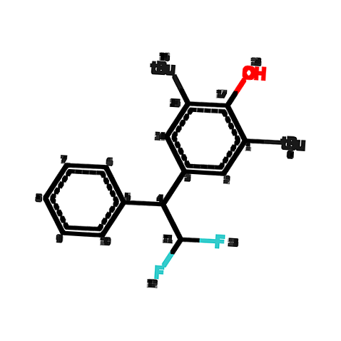 CC(C)(C)c1cc(C(c2ccccc2)C(F)F)cc(C(C)(C)C)c1O